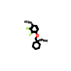 CCCCCCc1ccc(OCC2(CCCCC)CCCCC2)c(F)c1F